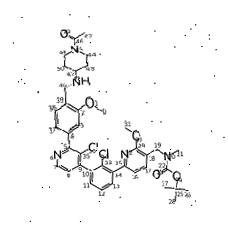 COc1cc(-c2nccc(-c3cccc(-c4ccc(CN(C)C(=O)OC(C)(C)C)c(OC)n4)c3Cl)c2Cl)ccc1CNC1CCN(C(C)=O)CC1